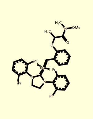 CON(C)C(=O)C(C)Oc1ccccc1[CH]=[Ru]([I])([I])=[C]1N(c2c(C(C)C)cccc2C(C)C)CCN1c1c(C(C)C)cccc1C(C)C